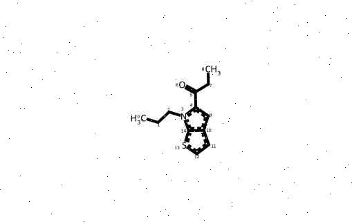 CCCn1c(C(=O)CC)cc2ccsc21